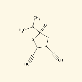 C#CC1CP(=O)(N(C)C)SC1C#C